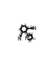 N#Cc1cccc(C#N)c1-n1cc[c]n1